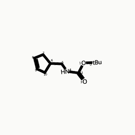 CC(C)(C)OC(=O)NCC1CC=CC1